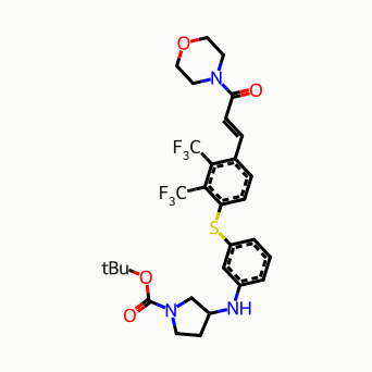 CC(C)(C)OC(=O)N1CCC(Nc2cccc(Sc3ccc(/C=C/C(=O)N4CCOCC4)c(C(F)(F)F)c3C(F)(F)F)c2)C1